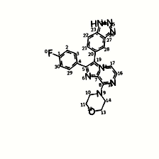 Fc1ccc(-c2nc3c(N4CCOCC4)nccn3c2-c2ccc3[nH]nnc3c2)cc1